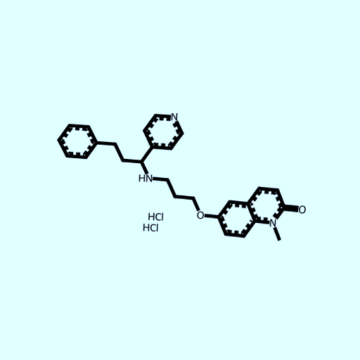 Cl.Cl.Cn1c(=O)ccc2cc(OCCCNC(CCc3ccccc3)c3ccncc3)ccc21